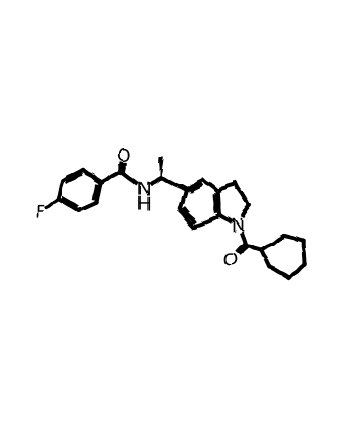 C[C@H](NC(=O)c1ccc(F)cc1)c1ccc2c(c1)CCN2C(=O)C1CCCCC1